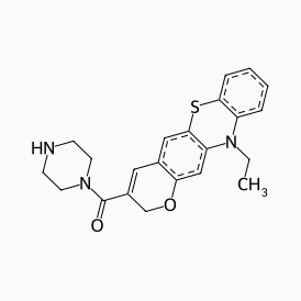 CCN1c2ccccc2Sc2cc3c(cc21)OCC(C(=O)N1CCNCC1)=C3